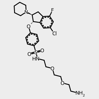 NCCOCCOCCNS(=O)(=O)c1ccc(O[C@H]2c3cc(Cl)cc(F)c3C[C@@H]2N2CCCCC2)cc1